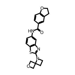 O=C(Nc1ccc2sc(N3CCC34COC4)nc2c1)c1ccc2c(c1)CCO2